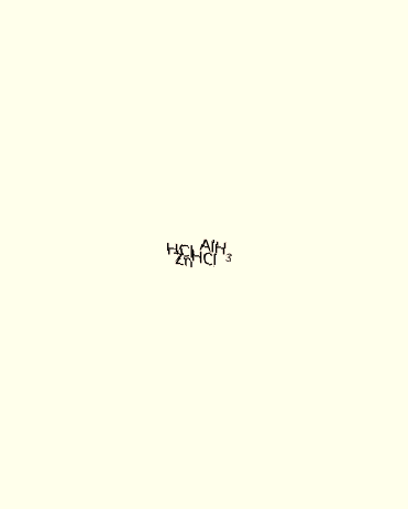 Cl.Cl.[AlH3].[Zn]